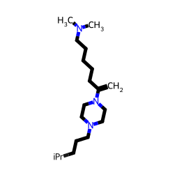 C=C(CCCCCN(C)C)N1CCN(CCCC(C)C)CC1